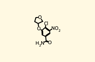 NC(=O)c1cc(OC2CCOC2)c(Cl)c([N+](=O)[O-])c1